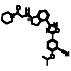 CC(C)Oc1ccc(-c2nc(-c3cccc4c3CC[C@H]4NCC(=O)N3CCCCC3)no2)cc1C#N